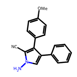 COc1ccc(-c2c(-c3ccccc3)cn(N)c2C#N)cc1